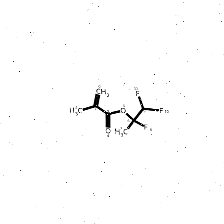 C=C(C)C(=O)OC(C)(F)C(F)F